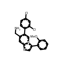 COc1ccccc1-c1cnc2cc(CN)c(-c3ccc(Cl)cc3Cl)cn12